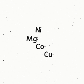 [Co].[Cu].[Mg].[Ni]